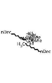 CCCCCCCCCCCCCCCCCC(C)N(C(C)CCCCCCCCCCCCCCCCC)C(CC)[Si](OC)(OC)OC.Cl.N